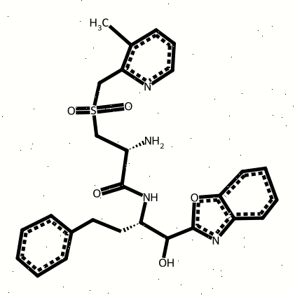 Cc1cccnc1CS(=O)(=O)C[C@H](N)C(=O)N[C@@H](CCc1ccccc1)C(O)c1nc2ccccc2o1